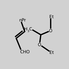 CCC/C=C/C=O.CCOC(C)OCC